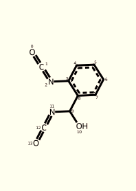 O=C=Nc1ccccc1C(O)N=C=O